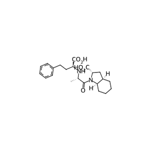 C[C@H](N[C@@H](CCc1ccccc1)C(=O)O)C(=O)N1[C@@H]2CCCC[C@@H]2C[C@H]1C(=O)O